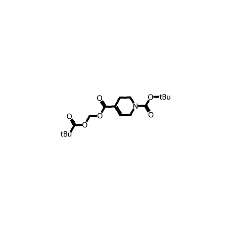 CC(C)(C)OC(=O)N1CC=C(C(=O)OCOC(=O)C(C)(C)C)CC1